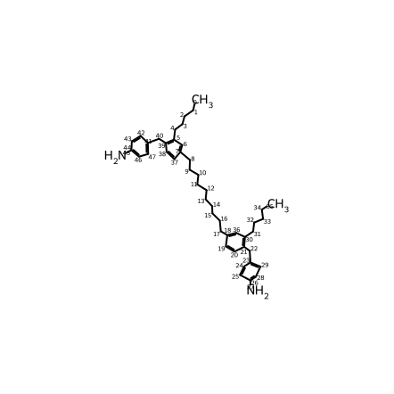 CCCCCc1cc(CCCCCCCCCCc2ccc(Cc3ccc(N)cc3)c(CCCCC)c2)ccc1Cc1ccc(N)cc1